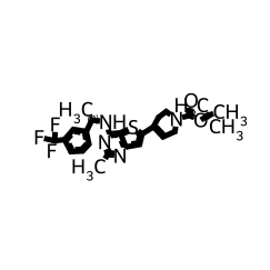 Cc1nc(N[C@H](C)c2cccc(C(F)(F)F)c2)c2sc(C3=CCN(C(=O)OC(C)(C)C)CC3)cc2n1